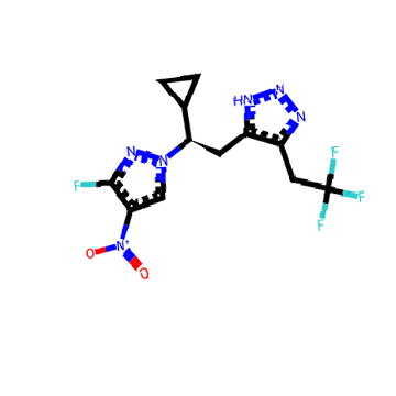 O=[N+]([O-])c1cn([C@H](Cc2[nH]nnc2CC(F)(F)F)C2CC2)nc1F